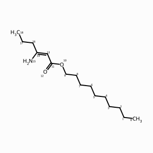 CCCCCCCCCCOC(=O)C=C(N)CCC